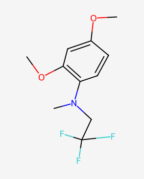 COc1ccc(N(C)CC(F)(F)F)c(OC)c1